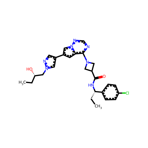 CC[C@H](O)Cn1cc(-c2cc3c(N4CC(C(=O)N[C@@H](CC)c5ccc(Cl)cc5)C4)ncnn3c2)cn1